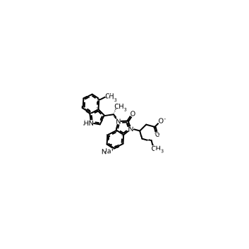 CCCC(CC(=O)[O-])n1c(=O)n([C@@H](C)c2c[nH]c3cccc(C)c23)c2ccccc21.[Na+]